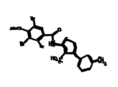 COc1c(Br)cc(C(=O)Nc2scc(-c3cccc(C)c3)c2C(=O)O)c(Br)c1Br